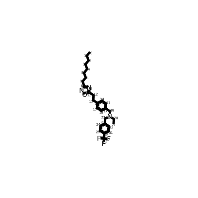 CCCCCCCCc1noc(CCc2ccc(CN(CC)Cc3ccc(C(F)(F)F)cc3)cc2)n1